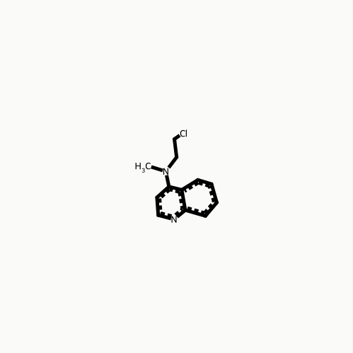 CN(CCCl)c1ccnc2ccccc12